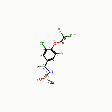 Cc1cc([C@@H](C)N[S@+]([O-])C(C)(C)C)cc(Cl)c1OCC(F)F